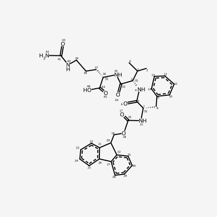 CC(C)[C@H](NC(=O)[C@H](Cc1ccccc1)NC(=O)OCC1c2ccccc2-c2ccccc21)C(=O)N[C@@H](CCCNC(N)=O)C(=O)O